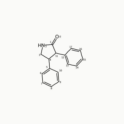 O=C1NCC(c2ccccc2)C1c1ccccc1